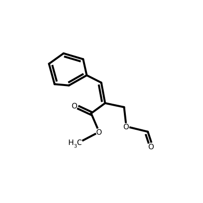 COC(=O)C(=Cc1ccccc1)COC=O